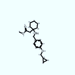 COC(=O)CC1(NCc2ccc(OCC3CC3)cc2)CCCCC1